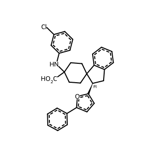 O=C(O)C1(Nc2cccc(Cl)c2)CCC2(CC1)c1ccccc1C[C@H]2c1ccc(-c2ccccc2)o1